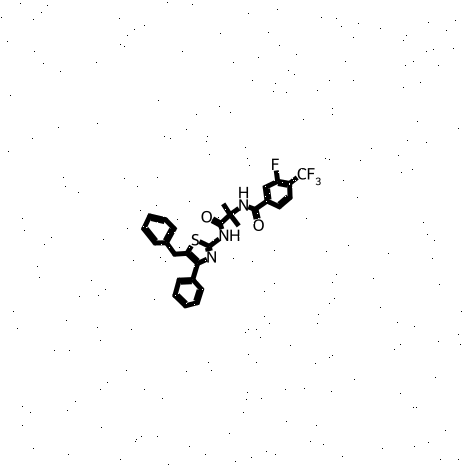 CC(C)(NC(=O)c1ccc(C(F)(F)F)c(F)c1)C(=O)Nc1nc(-c2ccccc2)c(Cc2ccccc2)s1